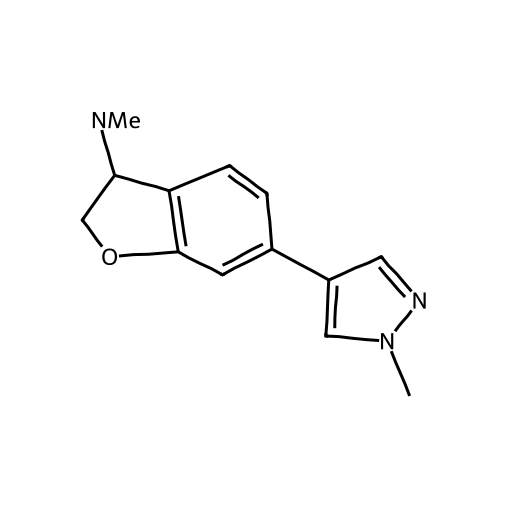 CNC1COc2cc(-c3cnn(C)c3)ccc21